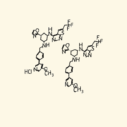 COc1cncc(-c2ccc(CN[C@@H]3C[C@H](Nc4ncnc5sc(CC(F)(F)F)cc45)C[C@H](c4ncco4)C3)cc2)c1.COc1cncc(-c2ccc(CN[C@H]3C[C@@H](Nc4ncnc5sc(CC(F)(F)F)cc45)C[C@@H](c4ncco4)C3)cc2)c1.Cl